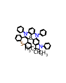 CC1N(c2ccccc2)c2cc3c(cc2C1(C)C)B1C2=C(c4ccccc4Sc4ccccc42)N(c2ccccc2)c2cccc(c21)N3c1ccccc1